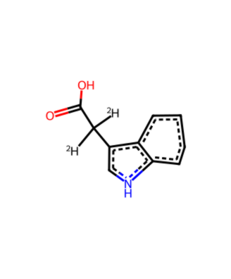 [2H]C([2H])(C(=O)O)c1c[nH]c2ccccc12